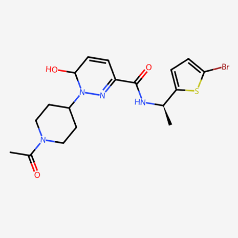 CC(=O)N1CCC(N2N=C(C(=O)N[C@H](C)c3ccc(Br)s3)C=CC2O)CC1